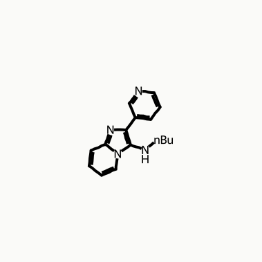 CCCCNc1c(-c2cccnc2)nc2ccccn12